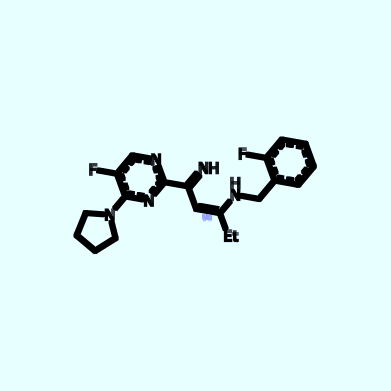 CC/C(=C/C(=N)c1ncc(F)c(N2CCCC2)n1)NCc1ccccc1F